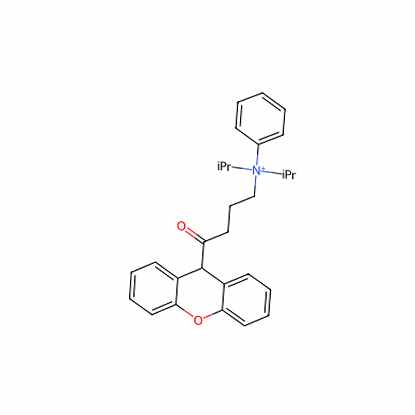 CC(C)[N+](CCCC(=O)C1c2ccccc2Oc2ccccc21)(c1ccccc1)C(C)C